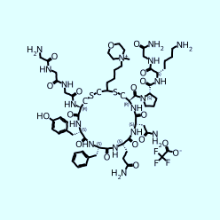 C[N+]1(CCCCC2CSC[C@H](NC(=O)CNC(=O)CNC(=O)CN)C(=O)N[C@@H](Cc3ccc(O)cc3)C(=O)N[C@@H](Cc3ccccc3)C(=O)N[C@@H](CCC(N)=O)C(=O)N[C@@H](CC(N)=O)C(=O)N[C@H](C(=O)N3CCC[C@H]3C(=O)N[C@@H](CCCCN)C(=O)NCC(N)=O)CS2)CCOCC1.O=C([O-])C(F)(F)F